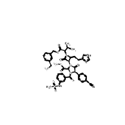 CCc1cccc(COC(=O)C(C(C)C)N2C(=O)C(N3C(=O)C(c4ccc(C#N)cc4)N(C(=O)c4cccc(NS(C)(=O)=O)c4)C3C(=O)OC)C2CCc2c[nH]cn2)c1